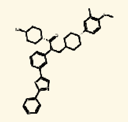 COc1ccc([C@H]2CC[C@H](CN(c3cccc(-c4cnc(-c5ccccc5)s4)c3)C(=O)[C@H]3CC[C@H](O)CC3)CC2)cc1C